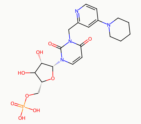 O=c1ccn([C@@H]2O[C@H](COP(=O)(O)O)C(O)[C@@H]2O)c(=O)n1Cc1cc(N2CCCCC2)ccn1